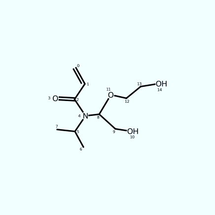 C=CC(=O)N(C(C)C)C(CO)OCCO